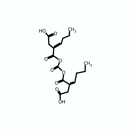 CCCC=C(CC(=O)O)C(=O)OC(=O)OC(=O)C(=CCCC)CC(=O)O